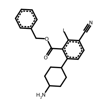 N#Cc1ccc(C2CCC(N)CC2)c(C(=O)OCc2ccccc2)c1I